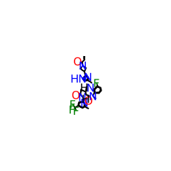 C=CC(=O)N1CC(c2nc(CN3C[C@H]4CC(=O)N(c5cc(C(F)(F)F)cc(C)n5)[C@@H]4C(=O)N(C)c4cccc(F)c43)c[nH]2)C1